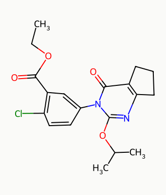 CCOC(=O)c1cc(-n2c(OC(C)C)nc3c(c2=O)CCC3)ccc1Cl